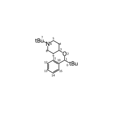 CC(C)(C)C(OC1CCN(C(C)(C)C)CC1)c1ccccc1